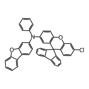 Clc1ccc2c(c1)Oc1ccc(N(c3ccccc3)c3ccc4c(c3)oc3ccccc34)cc1C21c2ccccc2-c2ccccc21